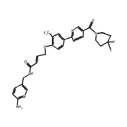 Nc1ccc(CNC(=O)/C=C/COc2ccc(-c3ccc(C(=O)N4CCC(F)(F)CC4)cn3)cc2C(F)(F)F)cn1